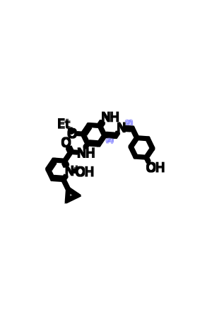 CCOC1=CC(=N)/C(=C\N=C/C2CCC(O)CC2)C=C1NC(=O)c1cccc(C2CC2)[n+]1O